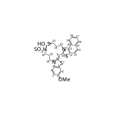 COc1ccc2c(c1)S/C(=C\c1sc3ccc4ccccc4c3[n+]1CCCS(=O)(=O)O)N2CCCS(=O)(=O)O